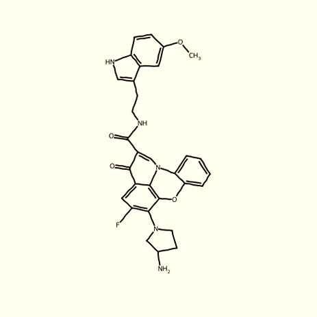 COc1ccc2[nH]cc(CCNC(=O)c3cn4c5c(c(N6CCC(N)C6)c(F)cc5c3=O)Oc3ccccc3-4)c2c1